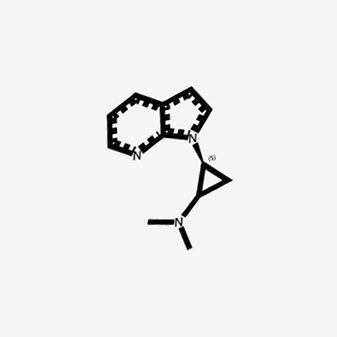 CN(C)C1C[C@@H]1n1ccc2cccnc21